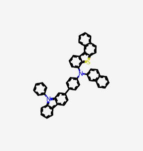 c1ccc(-n2c3ccccc3c3ccc(-c4ccc(N(c5ccc6ccccc6c5)c5cccc6c5sc5ccc7ccccc7c56)cc4)cc32)cc1